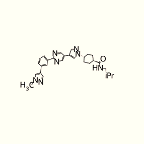 CC(C)CNC(=O)[C@H]1CC[C@H](n2cc(-c3cnc(-c4cccc(-c5cnn(C)c5)c4)nc3)cn2)CC1